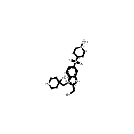 CC(C)(C)Cc1nc2cc(S(=O)(=O)C3CCN(C(=O)O)CC3)ccc2n1CC1(O)CCOCC1